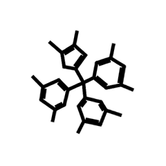 CC1=C(C)CC(C(c2cc(C)cc(C)c2)(c2cc(C)cc(C)c2)c2cc(C)cc(C)c2)=C1